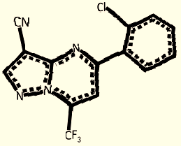 N#Cc1cnn2c(C(F)(F)F)cc(-c3ccccc3Cl)nc12